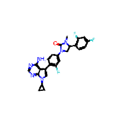 CN1C(=O)N(c2ccc(-c3cn(C4CC4)c4ncnc(N)c34)c(F)c2)CC1c1ccc(F)cc1F